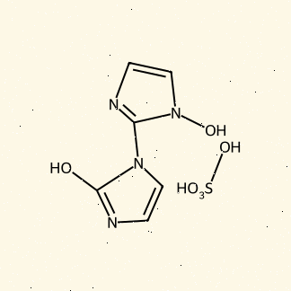 O=S(=O)(O)O.Oc1nccn1-c1nccn1O